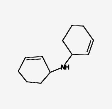 C1=CC(NC2C=CCCC2)CCC1